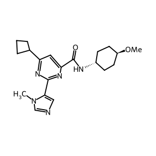 CO[C@H]1CC[C@H](NC(=O)c2cc(C3CCC3)nc(-c3cncn3C)n2)CC1